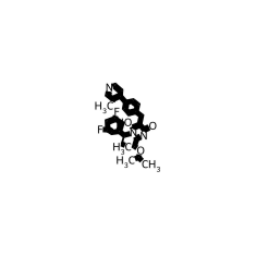 CC[C@@H](c1cc(F)cc(F)c1)n1c(COC(C)C)nc(=O)c(Cc2ccc(-c3ccncc3C)cc2)c1O